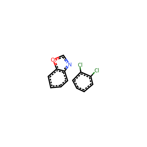 Clc1ccccc1Cl.c1ccc2ocnc2c1